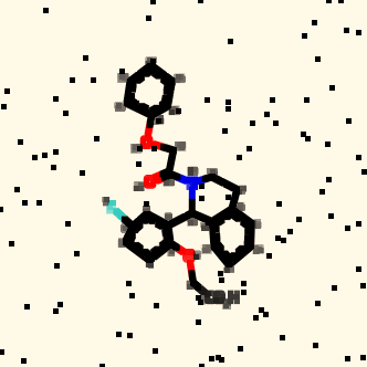 O=C(O)COc1ccc(F)cc1C1c2ccccc2CCN1C(=O)COc1ccccc1